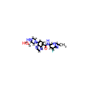 Cc1cn2cc(NC(=O)c3ccc(N4CCN[C@@H](CO)C4)c4nccnc34)cc(F)c2n1